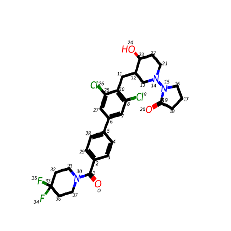 O=C(c1ccc(-c2cc(Cl)c(CC3CN(N4CCCC4=O)CCC3O)c(Cl)c2)cc1)N1CCC(F)(F)CC1